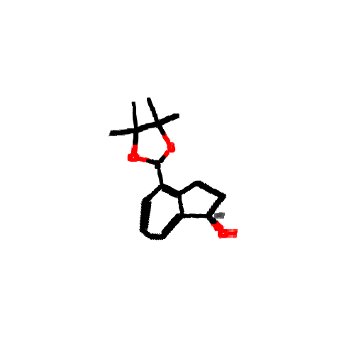 CC1(C)OB(c2cccc3c2CC[C@H]3O)OC1(C)C